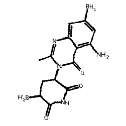 Bc1cc(N)c2c(=O)n(C3CC(B)C(=O)NC3=O)c(C)nc2c1